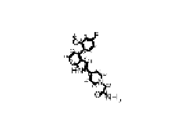 COc1cc(F)ccc1-c1ccnc2[nH]c(C3=CCN(CC(N)=O)CC3)cc12